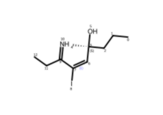 CCC[C@](C)(O)/C=C(/I)C(=N)CC